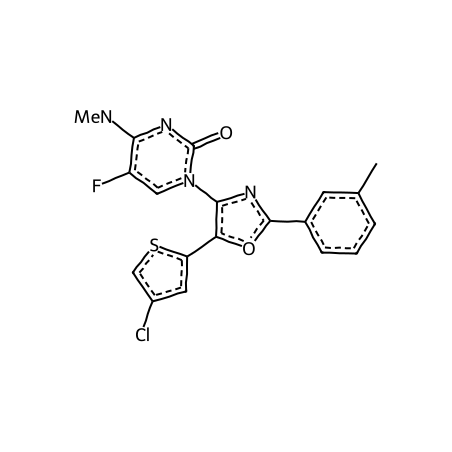 CNc1nc(=O)n(-c2nc(-c3cccc(C)c3)oc2-c2cc(Cl)cs2)cc1F